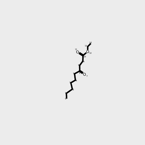 CCCCCCC(=O)CCC(=O)OCC